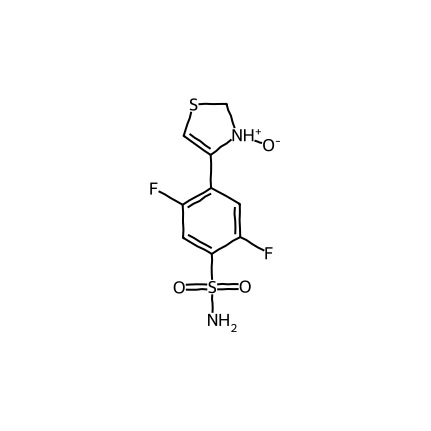 NS(=O)(=O)c1cc(F)c(C2=CSC[NH+]2[O-])cc1F